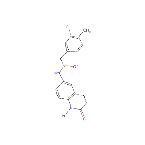 CCCN1C(=O)CCc2cc(N[S+]([O-])Cc3ccc(C)c(Cl)c3)ccc21